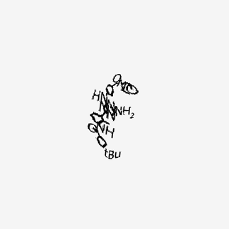 Cc1c(NC(=O)c2ccc(C(C)(C)C)cc2)cccc1-c1nc(N)nc(Nc2ccc(C(=O)N3CCOCC3)cc2)n1